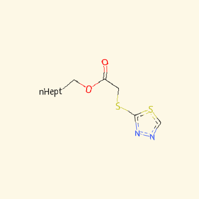 CCCCCCCCOC(=O)CSc1nncs1